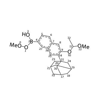 COOB(O)c1ccc2cc(OC(C)OC)c(C34CC5CC(CC(C5)C3)C4)cc2c1